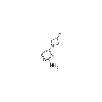 Nc1nccc(N2CC(F)C2)n1